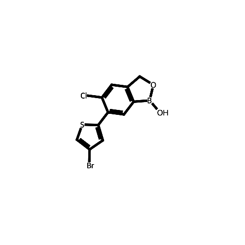 OB1OCc2cc(Cl)c(-c3cc(Br)cs3)cc21